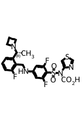 C[C@H](c1cccc(F)c1CNc1cc(F)c(S(=O)(=O)N(C(=O)O)c2cscn2)c(F)c1)N1CCC1